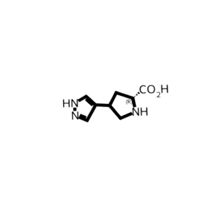 O=C(O)[C@H]1CC(c2cn[nH]c2)CN1